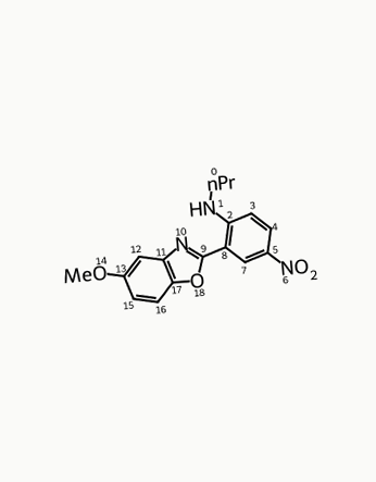 CCCNc1ccc([N+](=O)[O-])cc1-c1nc2cc(OC)ccc2o1